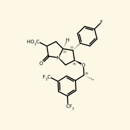 C[C@@H](O[C@H]1CN2C(=O)C(C(=O)O)C[C@H]2[C@@H]1c1ccc(F)cc1)c1cc(C(F)(F)F)cc(C(F)(F)F)c1